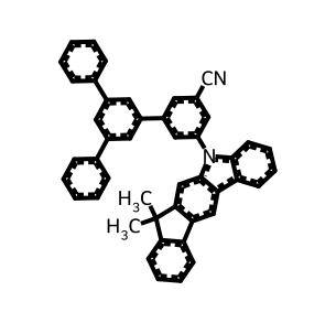 CC1(C)c2ccccc2-c2cc3c4ccccc4n(-c4cc(C#N)cc(-c5cc(-c6ccccc6)cc(-c6ccccc6)c5)c4)c3cc21